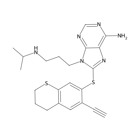 C#Cc1cc2c(cc1Sc1nc3c(N)ncnc3n1CCCNC(C)C)SCCC2